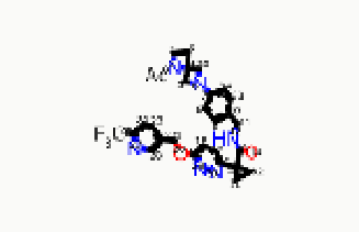 CC(=O)N1CCC12CN(c1ccc(CNC(=O)C3(c4ccc(OCc5ccc(C(F)(F)F)nc5)nn4)CC3)cc1)C2